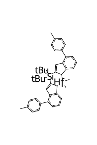 Cc1ccc(-c2cccc3c2C=C2[CH]3[Hf]([CH3])([CH3])[CH]3C(=Cc4c(-c5ccc(C)cc5)cccc43)[Si]2(C(C)(C)C)C(C)(C)C)cc1